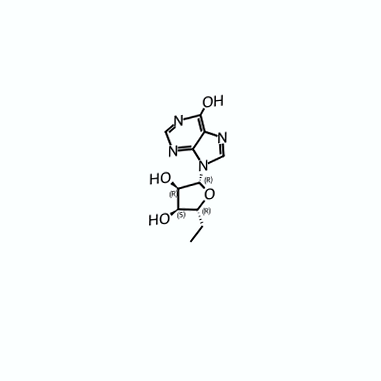 CC[C@H]1O[C@@H](n2cnc3c(O)ncnc32)[C@H](O)[C@@H]1O